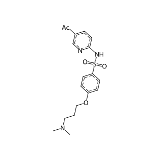 CC(=O)c1ccc(NS(=O)(=O)c2ccc(OCCCN(C)C)cc2)nc1